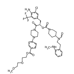 CNc1ccccc1CCN(C=O)C1CCN(C(=O)O[C@H](Cc2cc(Cl)c(N)c(C(F)(F)F)c2)C(=O)N2CCN(c3ccc(C(=O)OCCOCCOC)cc3)CC2)CC1